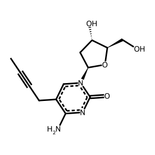 CC#CCc1cn([C@H]2C[C@H](O)[C@@H](CO)O2)c(=O)nc1N